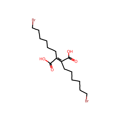 O=C(O)C(CCCCCCBr)=C(CCCCCCBr)C(=O)O